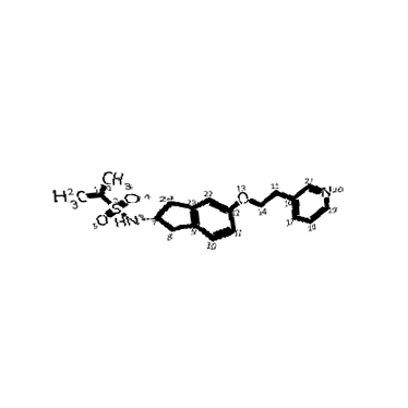 CC(C)S(=O)(=O)N[C@H]1Cc2ccc(OCCc3cccnc3)cc2C1